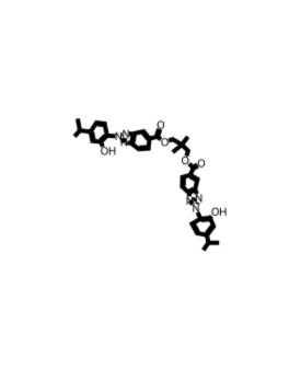 CC(C)c1ccc(-n2n3c4ccc(C(=O)OCC(C)(C)COC(=O)c5ccc6c(c5)n5n(-c7ccc(C(C)C)cc7O)n65)cc4n23)c(O)c1